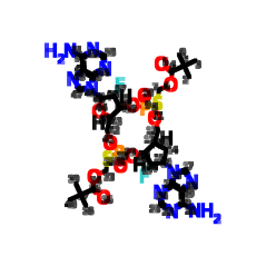 CC(C)(C)C(=O)OCSP1(=O)OC[C@H]2C[C@@H](n3cnc4c(N)ncnc43)[C@@H](F)[C@H]2OP(=O)(SCOC(=O)C(C)(C)C)OC[C@H]2O[C@@H](n3cnc4c(N)ncnc43)[C@@H](F)[C@H]2O1